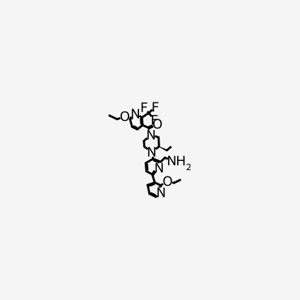 CCOc1ccc(C(=O)N2CCN(c3ccc(-c4cccnc4OCC)nc3CN)[C@H](CC)C2)c(C(F)(F)F)n1